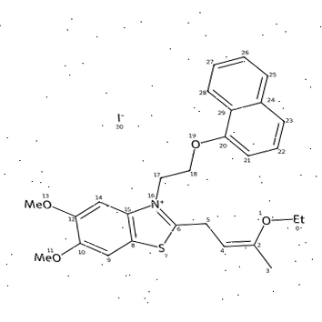 CCOC(C)=CCc1sc2cc(OC)c(OC)cc2[n+]1CCOc1cccc2ccccc12.[I-]